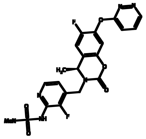 CNS(=O)(=O)Nc1nccc(CN2C(=O)Oc3cc(Oc4cccnn4)c(F)cc3[C@@H]2C)c1F